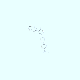 Cc1ccc(N2CCN(c3ccc(C(C)O)cn3)CC2)cc1-c1nc2ccccn2c1C